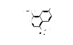 CNc1ncc(S(=O)(=O)Cl)c2ccc(Cl)cc12